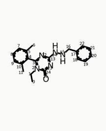 CCn1c(-c2c(C)cccc2C)nc(NNCc2ccccc2)nc1=O